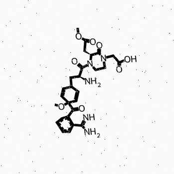 COC(=O)C[C@H]1C(=O)N(CC(=O)O)CCN1C(=O)[C@@H](N)CC1C=CC(OC)(C(=O)c2ccccc2C(=N)N)C=C1